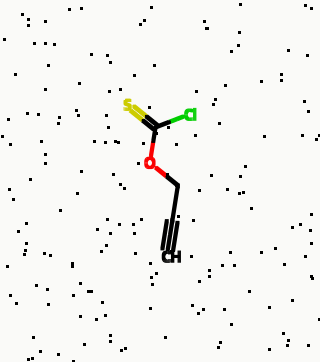 C#CCOC(=S)Cl